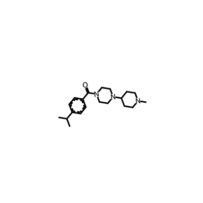 CC(C)c1ccc(C(=O)N2CCN(C3CCN(C)CC3)CC2)cc1